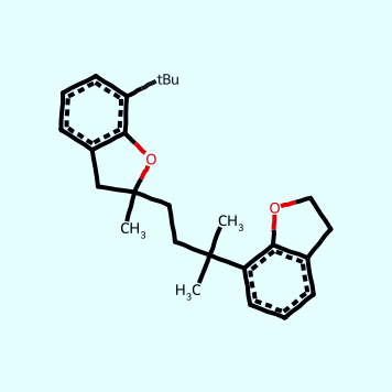 CC1(CCC(C)(C)c2cccc3c2OCC3)Cc2cccc(C(C)(C)C)c2O1